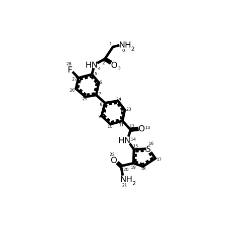 NCC(=O)Nc1cc(-c2ccc(C(=O)Nc3sccc3C(N)=O)cc2)ccc1F